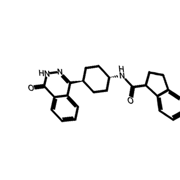 O=C(N[C@H]1CC[C@H](c2n[nH]c(=O)c3ccccc32)CC1)C1CCc2ccccc21